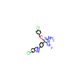 Nc1nc(N)c(-c2ccc(NCc3ccc(Cl)cc3)cc2)c(COCc2ccc(Cl)cc2)n1